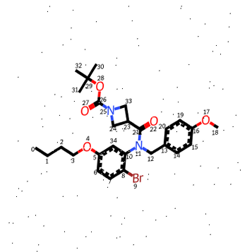 CCCCOc1ccc(Br)c(N(Cc2ccc(OC)cc2)C(=O)C2CN(C(=O)OC(C)(C)C)C2)c1